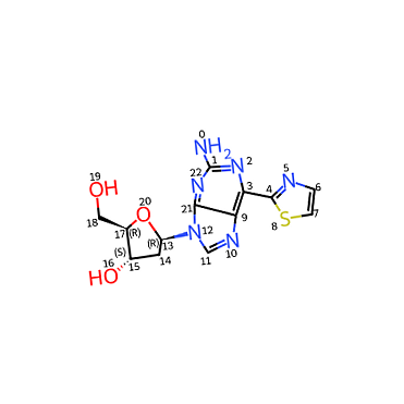 Nc1nc(-c2nccs2)c2ncn([C@H]3C[C@H](O)[C@@H](CO)O3)c2n1